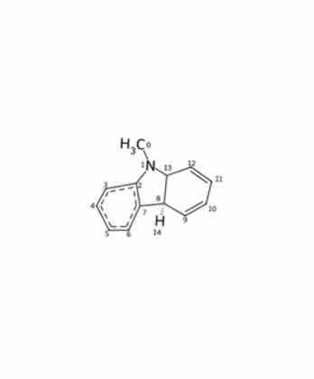 CN1c2ccccc2[C@@H]2C=CC=CC21